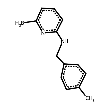 Bc1cccc(NCc2ccc(C)cc2)n1